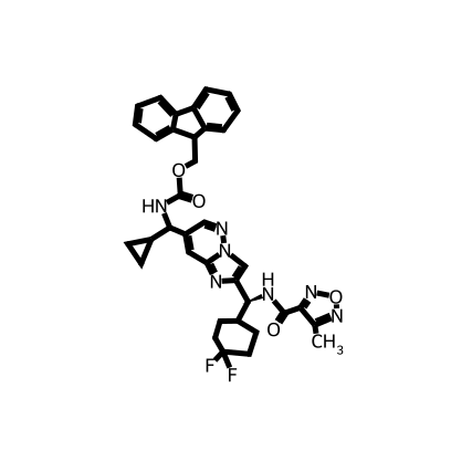 Cc1nonc1C(=O)N[C@H](c1cn2ncc(C(NC(=O)OCC3c4ccccc4-c4ccccc43)C3CC3)cc2n1)C1CCC(F)(F)CC1